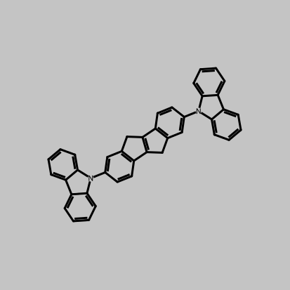 c1ccc2c(c1)c1ccccc1n2-c1ccc2c(c1)CC1=C2Cc2cc(-n3c4ccccc4c4ccccc43)ccc21